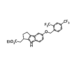 CCOC(=O)CC1CCc2c1[nH]c1ccc(OCc3ccc(C(F)(F)F)cc3C(F)(F)F)cc21